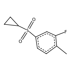 Cc1ccc(S(=O)(=O)C2CC2)cc1F